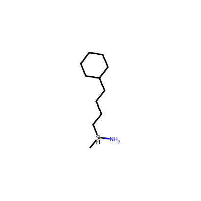 C[SiH](N)CCCCC1CCCCC1